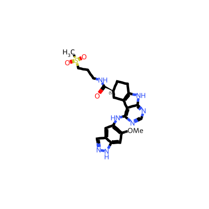 COc1cc2[nH]ncc2cc1Nc1ncnc2[nH]c3c(c12)C[C@@H](C(=O)NCCCS(C)(=O)=O)CC3